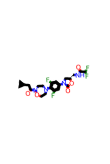 O=C(NC[C@H]1CN(c2cc(F)c(N3CCON(C(=O)CC4CC4)CC3)c(F)c2)C(=O)O1)C(F)F